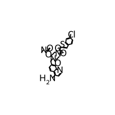 CN(C)C(=O)OC1CN(S(=O)(=O)c2cc3ccc(Cl)cc3s2)CC(=O)N1Cc1ccc2c(N)ccnc2c1